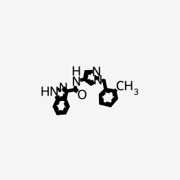 Cc1ccccc1Cn1cc(NC(=O)c2n[nH]c3ccccc23)cn1